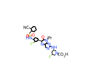 CC(C)n1c(=O)c(-c2ccc(NS(=O)(=O)Cc3ccccc3C#N)c(F)c2)nc2cnc(N[C@H]3C[C@H](F)CN(C(=O)O)C3)nc21